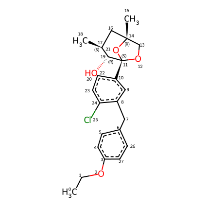 CCOc1ccc(Cc2cc([C@@]34OC[C@@](C)(C[C@H](C)[C@H]3O)O4)ccc2Cl)cc1